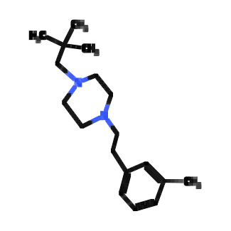 Cc1cccc(CCN2CCN(CC(C)(C)C)CC2)c1